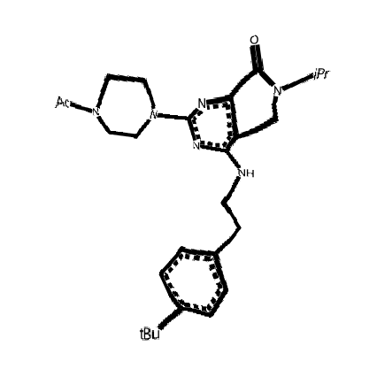 CC(=O)N1CCN(c2nc(NCCc3ccc(C(C)(C)C)cc3)c3c(n2)C(=O)N(C(C)C)C3)CC1